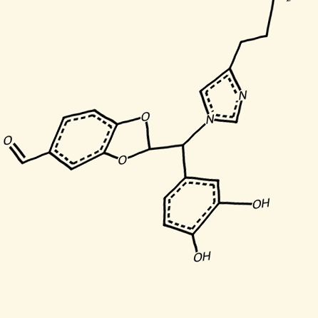 NCCc1cn(C(c2ccc(O)c(O)c2)C2Oc3ccc(C=O)cc3O2)cn1